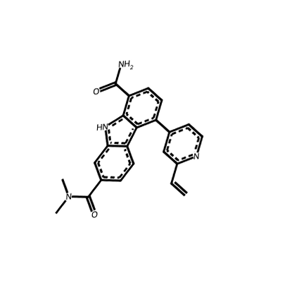 C=Cc1cc(-c2ccc(C(N)=O)c3[nH]c4cc(C(=O)N(C)C)ccc4c23)ccn1